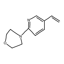 C=Cc1ccc(N2CCOCC2)nc1